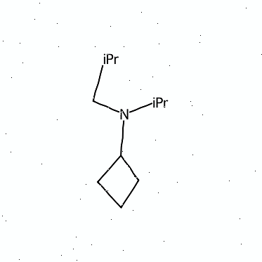 CC(C)CN(C(C)C)C1CCC1